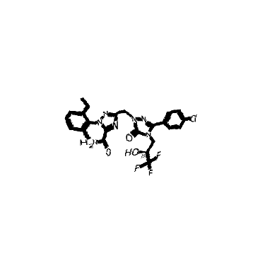 CCc1cccc(C)c1-n1nc(Cn2nc(-c3ccc(Cl)cc3)n(C[C@H](O)C(F)(F)F)c2=O)nc1C(N)=O